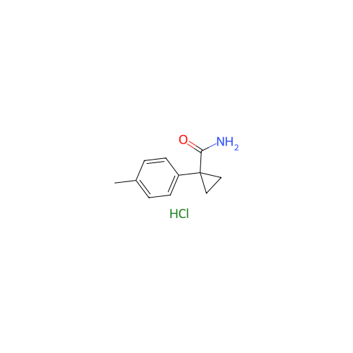 Cc1ccc(C2(C(N)=O)CC2)cc1.Cl